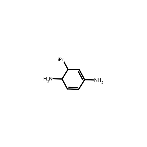 CC(C)C1C=C(N)C=CC1N